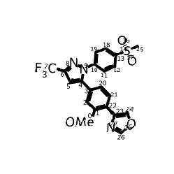 COc1cc(-c2cc(C(F)(F)F)nn2-c2ccc(S(C)(=O)=O)cc2)ccc1-c1cocn1